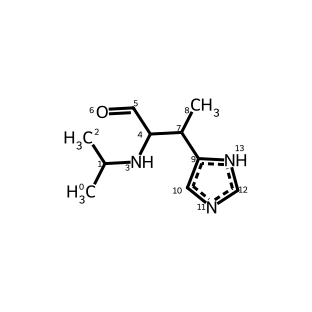 CC(C)NC(C=O)C(C)c1cnc[nH]1